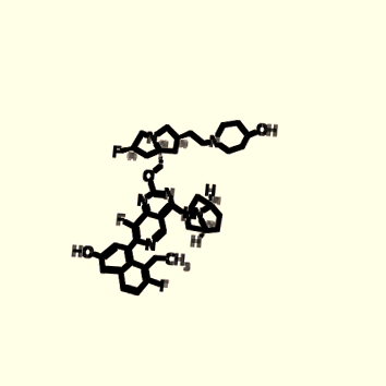 CCc1c(F)ccc2cc(O)cc(-c3ncc4c(N5C[C@H]6CC[C@@H](C5)N6)nc(OC[C@]56C[C@@H](F)CN5C[C@@H](CCN5CCC(O)CC5)C6)nc4c3F)c12